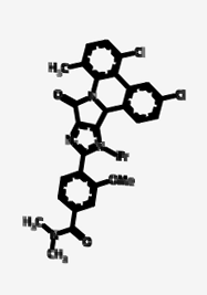 COc1cc(C(=O)N(C)C)ccc1-c1nc2c(n1C(C)C)C1c3ccc(Cl)cc3-c3c(Cl)ccc(C)c3N1C2=O